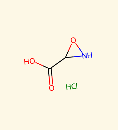 Cl.O=C(O)C1NO1